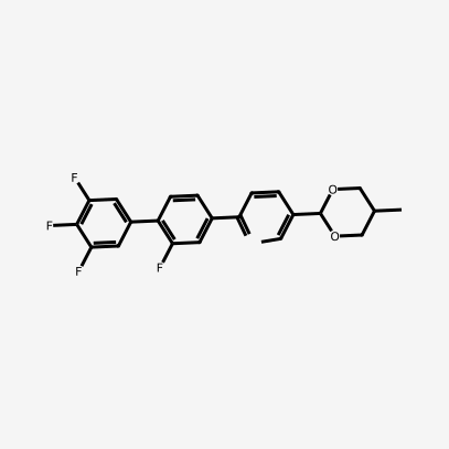 C=C(/C=C\C(=C/C)C1OCC(C)CO1)c1ccc(-c2cc(F)c(F)c(F)c2)c(F)c1